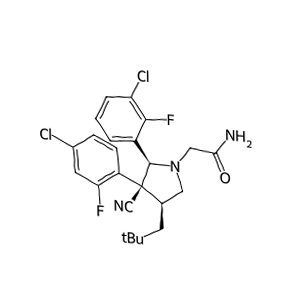 CC(C)(C)C[C@@H]1CN(CC(N)=O)[C@H](c2cccc(Cl)c2F)[C@@]1(C#N)c1ccc(Cl)cc1F